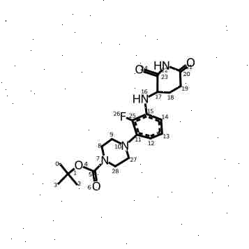 CC(C)(C)OC(=O)N1CCN(c2cccc(NC3CCC(=O)NC3=O)c2F)CC1